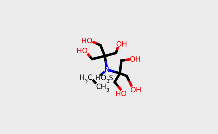 CC.O=S(=O)(O)N(C(CO)(CO)CO)C(CO)(CO)CO